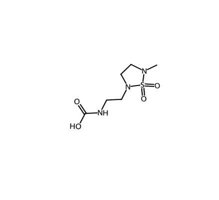 CN1CCN(CCNC(=O)O)S1(=O)=O